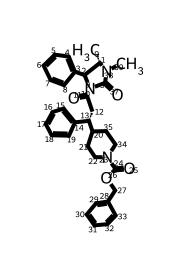 C[C@H]1C(c2ccccc2)N(C(=O)C[C@@H](c2ccccc2)C2CCN(C(=O)OCc3ccccc3)CC2)C(=O)N1C